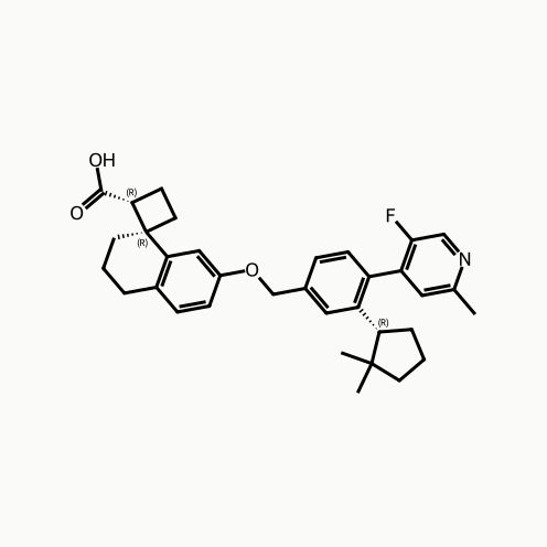 Cc1cc(-c2ccc(COc3ccc4c(c3)[C@]3(CCC4)CC[C@H]3C(=O)O)cc2[C@@H]2CCCC2(C)C)c(F)cn1